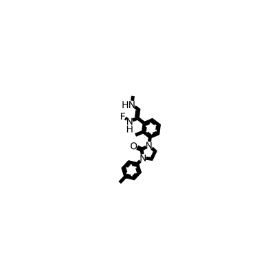 CN/C=C(\NF)c1cccc(N2CCN(c3ccc(C)cc3)C2=O)c1C